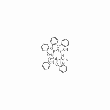 N#CP1N=P(C#N)(C#N)N(Oc2ccccc2)[PH](C#N)(Oc2ccccc2)N(Oc2ccccc2)P(Oc2ccccc2)N1Oc1ccccc1